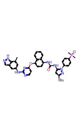 Cc1cc(Nc2nccc(Oc3ccc(NC(=O)Nc4cc(C(C)(C)C)nn4-c4ccc(P(C)(C)=O)cc4)c4ccccc34)n2)cc2cn[nH]c12